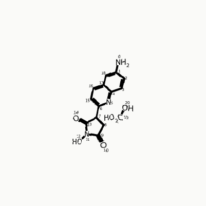 Nc1ccc2nc(C3CC(=O)N(O)C3=O)ccc2c1.O=C(O)O